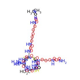 CN(C)c1ccc(/C=N/OCC(=O)NCCOCCOCCOCCOCCOCCNC(=O)COCC(=O)NCCCC[C@@H]2NC(=O)CSC[C@@H](C(=O)NCCOCCOCCOCCNC(=O)COCC(N)=O)NC(=O)[C@H](Cc3ccccc3)NC(=O)[C@H](CS)NC(=O)[C@H](CC(=O)O)NC(=O)CNC(=O)[C@H](CCCNC(=N)N)NC(=O)[C@H](CS)NC2=O)cc1